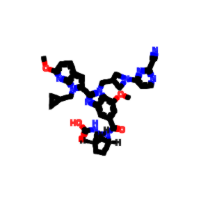 COc1ccc2cc(-c3nc4cc(C(=O)N5C[C@H]6CC[C@@H]5[C@@H]6NC(=O)O)cc(OC)c4n3CC3CN(c4ccnc(C#N)n4)C3)n(CC3CC3)c2n1